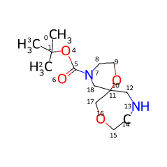 CC(C)(C)OC(=O)N1CCOC2(CNCCOC2)C1